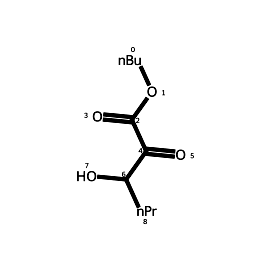 CCCCOC(=O)C(=O)C(O)CCC